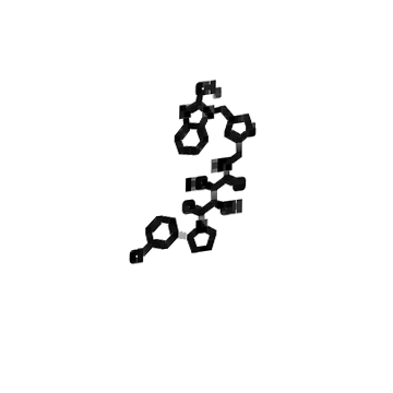 Cc1nc2ccccc2n1Cc1csc(CNC(=O)[C@H](O)[C@@H](O)C(=O)N2CCC[C@@H]2c2cccc(Cl)c2)c1